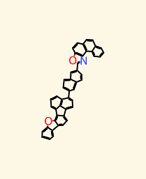 c1ccc2c(c1)ccc1ccc3oc(-c4ccc5cc(-c6ccc7c8c(cccc68)-c6c-7ccc7c6oc6ccccc67)ccc5c4)nc3c12